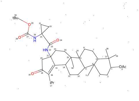 CC(=O)OC1CCC2(C)C(CCC3(C)C2CCC2C4=C(C(C)C)C(=O)CC4(NC(=O)C4(NC(=O)OC(C)(C)C)CC4)CCC23C)C1(C)C